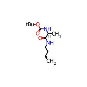 C=CCCNC(=O)[C@H](C)NC(=O)OC(C)(C)C